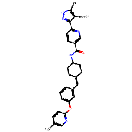 CCc1[nH]nc(-c2ccc(C(=O)NC3CCC(=Cc4cccc(Oc5ccc(C(F)(F)F)cn5)c4)CC3)cn2)c1C(=O)O